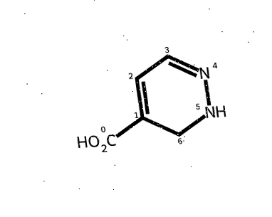 O=C(O)C1=CC=NNC1